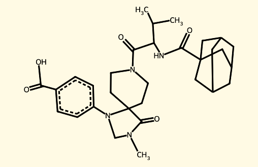 CC(C)C(NC(=O)C12CC3CC(CC(C3)C1)C2)C(=O)N1CCC2(CC1)C(=O)N(C)CN2c1ccc(C(=O)O)cc1